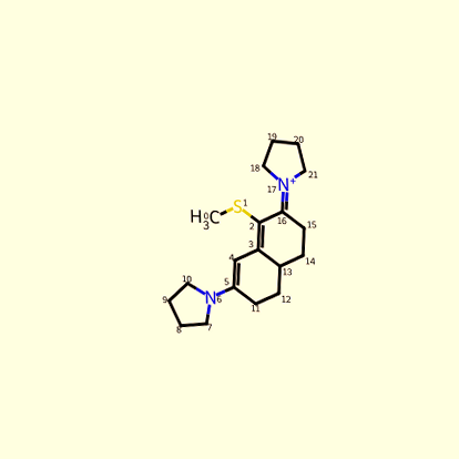 CSC1=C2C=C(N3CCCC3)CCC2CCC1=[N+]1CCCC1